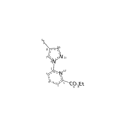 CCOC(=O)c1cccc(-n2cc(I)cn2)n1